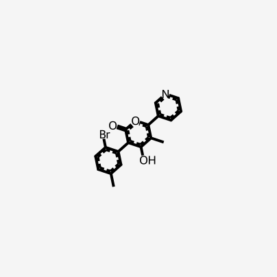 Cc1ccc(Br)c(-c2c(O)c(C)c(-c3cccnc3)oc2=O)c1